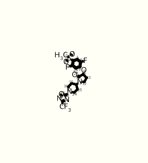 CS(=O)(=O)c1cc(F)c(OC2CCN(C3CCN(c4nc(C(F)(F)F)no4)CC3)C2=O)cc1F